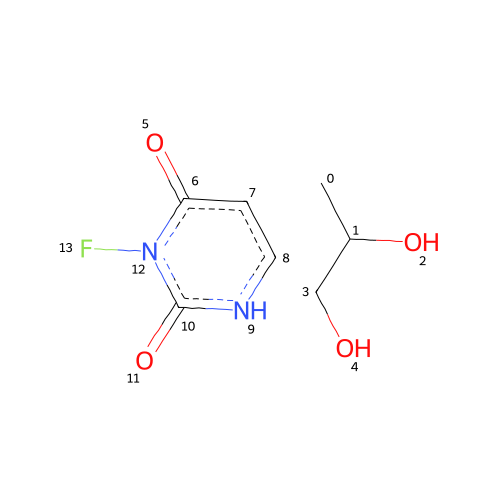 CC(O)CO.O=c1cc[nH]c(=O)n1F